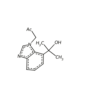 CC(=O)Cn1cnc2cccc(C(C)(C)O)c21